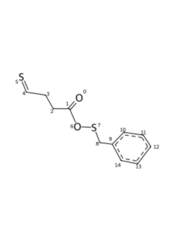 O=C(CCC=S)OSCc1ccccc1